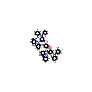 c1ccc(N(c2ccccc2)c2cc3c4c(c2)-n2c5ccccc5c5cccc(c52)B4c2cc4c(cc2O3)Oc2cc(N(c3ccccc3)c3ccccc3)cc3c2B4c2cccc4c5ccccc5n-3c24)cc1